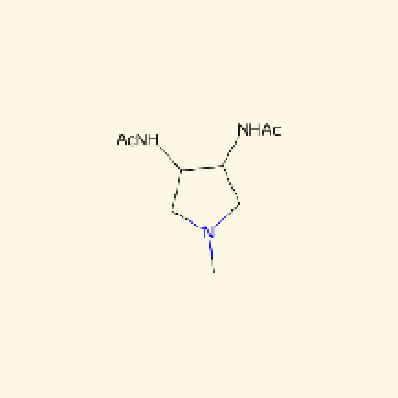 CC(=O)NC1CN(C)CC1NC(C)=O